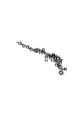 CCOCCOCCOCCOCCN1CCN(CCC(=O)NCCC[C@@H](CO)NC(=O)c2ncn(-c3ncc(OC)c4c(C(=O)C(=O)N5CCC(=C(C#N)c6ccccc6)CC5)c[nH]c34)n2)CC1